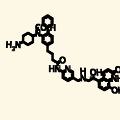 NC1CCC(N(C(=O)O)c2cc(CCCC(=O)Nc3ccc(CNC[C@H](O)c4ccc(O)c5[nH]c(=O)ccc45)cn3)ccc2-c2ccccc2)CC1